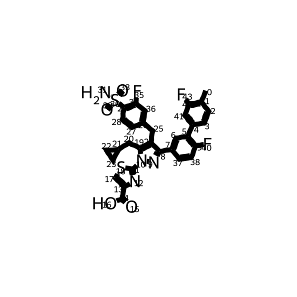 Cc1ccc(-c2cc(-c3nn(-c4nc(C(=O)O)cs4)c(CC4CC4)c3Cc3ccc(S(N)(=O)=O)c(F)c3)ccc2F)cc1F